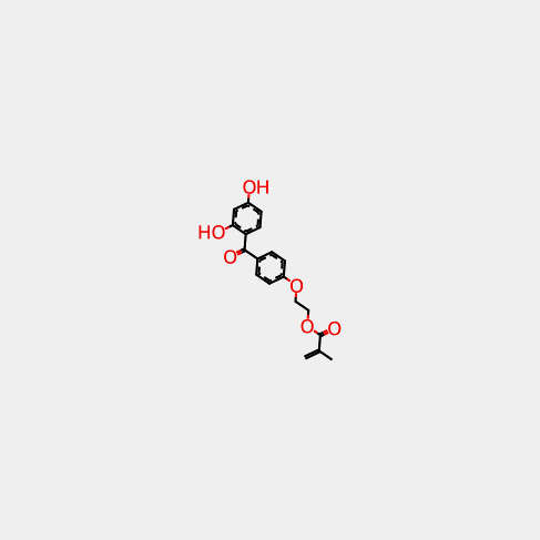 C=C(C)C(=O)OCCOc1ccc(C(=O)c2ccc(O)cc2O)cc1